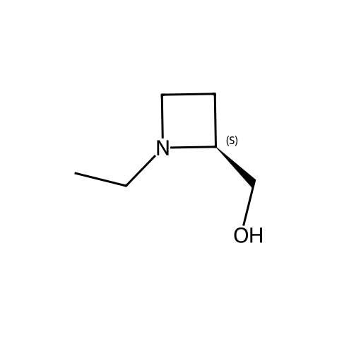 CCN1CC[C@H]1CO